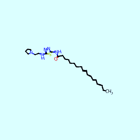 CCCCCCCCC=CCCCCCCCC(=O)Nc1nnc(NCCN2CCCC2)s1